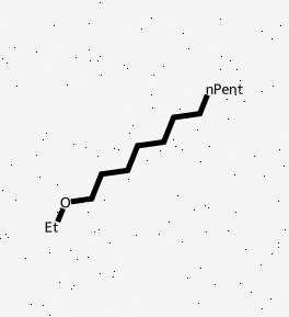 [CH2]CCCCCCCCCCCOCC